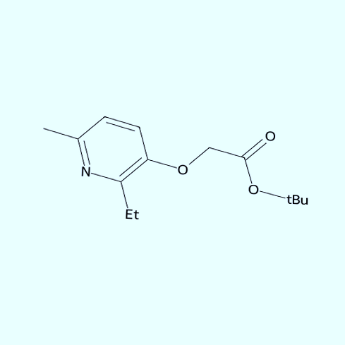 CCc1nc(C)ccc1OCC(=O)OC(C)(C)C